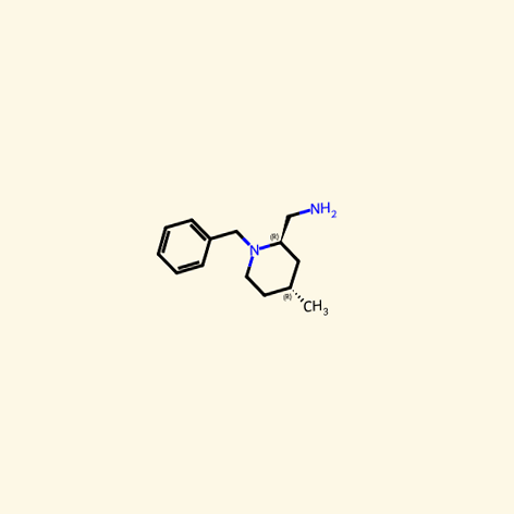 C[C@@H]1CCN(Cc2ccccc2)[C@@H](CN)C1